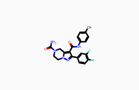 N#Cc1ccc(NC(=O)c2c(-c3ccc(F)c(F)c3)nn3c2CN(C(N)=O)CC3)cc1